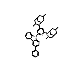 CC1CC2CC(C)N(c3cc(-n4c5ccccc5c5cc(-c6ccccc6)ccc54)nc(N4C(C)CC5CC(C)CC4C5)n3)C(C1)C2